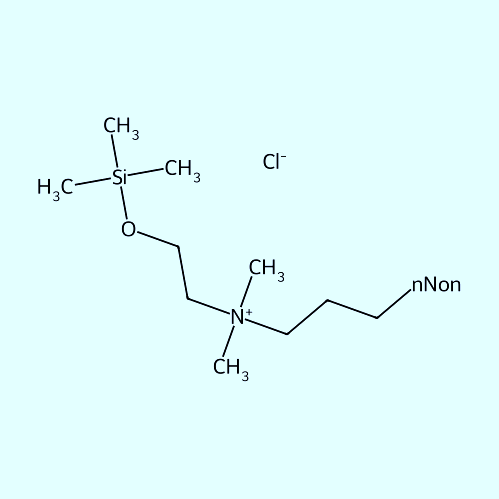 CCCCCCCCCCCC[N+](C)(C)CCO[Si](C)(C)C.[Cl-]